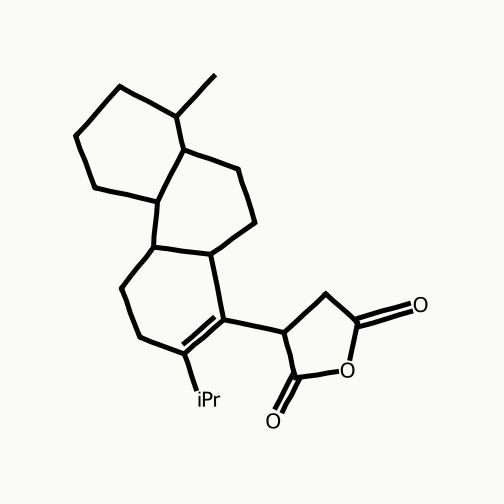 CC(C)C1=C(C2CC(=O)OC2=O)C2CCC3C(C)CCCC3C2CC1